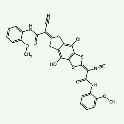 [C-]#[N+]C(C(=O)Nc1ccccc1OC)=C1Sc2c(O)c3c(c(O)c2S1)SC(=C(C#N)C(=O)Nc1ccccc1OC)S3